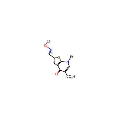 CCO/N=C/c1cc2c(=O)c(C(=O)O)cn(CC)c2s1